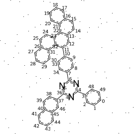 c1ccc(-c2nc(-c3ccc(-c4cc5ccc6ccccc6c5c5ccc6ccccc6c45)cc3)nc(-c3ccc4ccccc4c3)n2)cc1